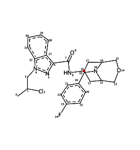 CC(Cl)Cn1nc(C(=O)NC2CC3COCC(C2)N3Cc2ccc(F)cc2)c2ccccc21